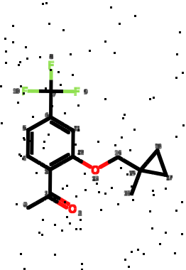 CC(=O)c1ccc(C(F)(F)F)cc1OCC1(C)CC1